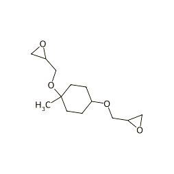 CC1(OCC2CO2)CCC(OCC2CO2)CC1